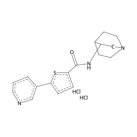 Cl.Cl.O=C(NC1CN2CCC1CC2)c1ccc(-c2cccnc2)s1